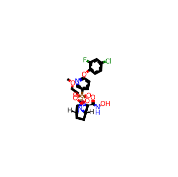 COCCOC(=O)N1[C@@H]2CC[C@H]1[C@H](C(=O)NO)N(S(=O)(=O)c1ccc(Oc3ccc(Cl)cc3F)nc1)C2